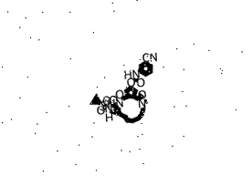 CN1CCCC/C=C/C2CC2(C(=O)NS(=O)(=O)C2CC2)NC(=O)C2CC(OC(=O)Nc3cccc(C#N)c3)CC2C1=O